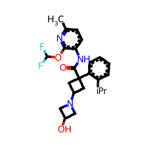 Cc1ccc(NC(=O)C2(c3ccccc3C(C)C)CC(N3CC(O)C3)C2)c(OC(F)F)n1